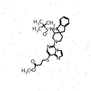 COC(=O)CCSc1cnc(N2CCC3(Cc4ccccc4C3)C(N[S@+]([O-])C(C)(C)C)C2)n2ccnc12